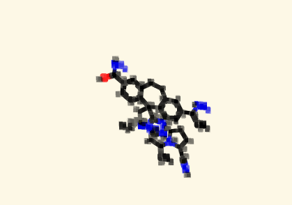 C=C(N)c1ccc2c(c1)CCc1cc(C(N)=O)ccc1C2(C[C@@H](C)NCC(=C)N1CCCC1C#N)c1nnc[nH]1